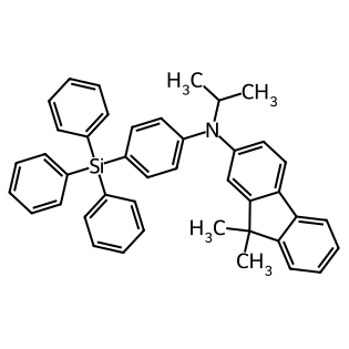 CC(C)N(c1ccc([Si](c2ccccc2)(c2ccccc2)c2ccccc2)cc1)c1ccc2c(c1)C(C)(C)c1ccccc1-2